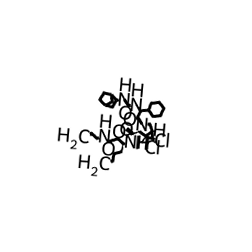 C=CCC[C@H](NC(=O)[C@@H]1[C@@H]2[C@H](CN1C(=O)[C@@H](NC(=O)NC1CC3CCC1C3)C1CCCCC1)C2(Cl)Cl)C(=O)C(=O)NCC=C